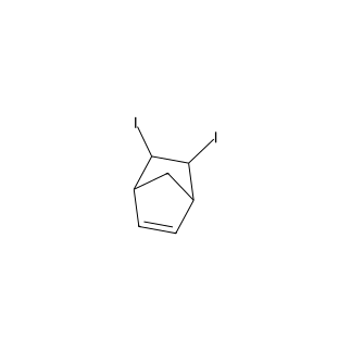 IC1C2C=CC(C2)C1I